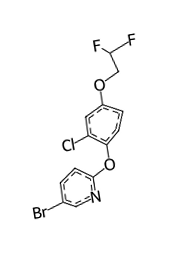 FC(F)COc1ccc(Oc2ccc(Br)cn2)c(Cl)c1